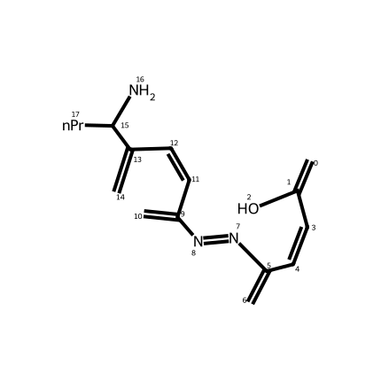 C=C(O)/C=C\C(=C)N=NC(=C)/C=C\C(=C)C(N)CCC